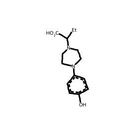 CCC(C(=O)O)N1CCN(c2ccc(O)cc2)CC1